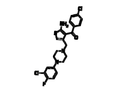 Nc1scc(CN2CCN(c3ccc(F)c(Cl)c3)CC2)c1C(=O)c1ccc(Cl)cc1